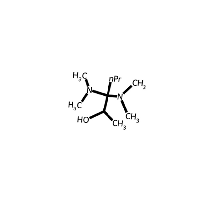 CCCC(C(C)O)(N(C)C)N(C)C